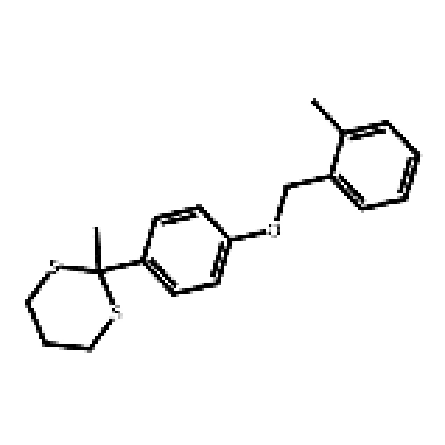 Cc1ccccc1COc1ccc(C2(C)SCCCS2)cc1